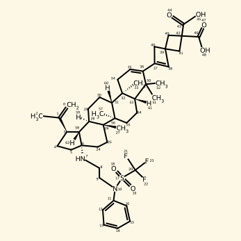 C=C(C)[C@@H]1CC[C@]2(NCCN(c3ccccc3)S(=O)(=O)C(F)(F)F)CC[C@]3(C)[C@H](CC[C@@H]4[C@@]5(C)CC=C(C6=CC7(C6)CC(C(=O)O)(C(=O)O)C7)C(C)(C)[C@@H]5CC[C@]43C)[C@@H]12